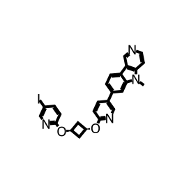 Cn1c2ccncc2c2ccc(-c3ccc(O[C@H]4C[C@H](Oc5ccc(I)cn5)C4)nc3)cc21